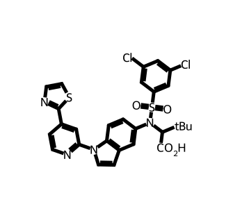 CC(C)(C)C(C(=O)O)N(c1ccc2c(ccn2-c2cc(-c3nccs3)ccn2)c1)S(=O)(=O)c1cc(Cl)cc(Cl)c1